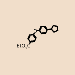 CCOC(=O)c1ccc(Oc2ccc(C3CCCC3)cc2)cc1